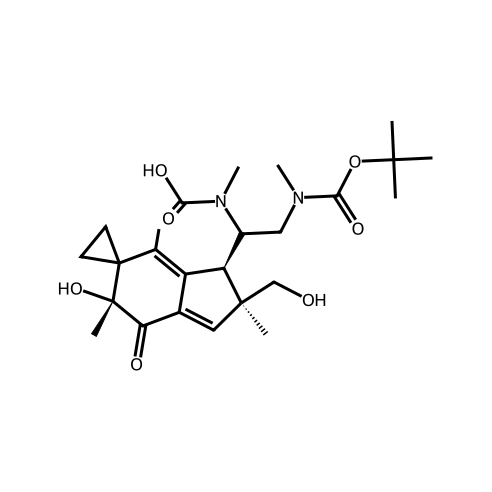 CC1=C2C(=C[C@](C)(CO)[C@@H]2C(CN(C)C(=O)OC(C)(C)C)N(C)C(=O)O)C(=O)[C@](C)(O)C12CC2